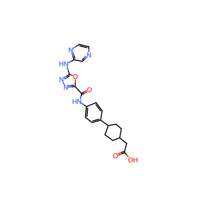 O=C(O)CC1CCC(c2ccc(NC(=O)c3nnc(Nc4cnccn4)o3)cc2)CC1